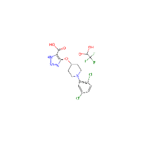 O=C(O)C(F)(F)F.O=C(O)c1[nH]nnc1OC1CCN(c2cc(Cl)ccc2Cl)CC1